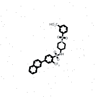 O=C(O)c1cccc(S(=O)(=O)N2CCC(NS(=O)(=O)c3ccc(-c4ccc5ccccc5c4)cc3C(F)(F)F)CC2)c1